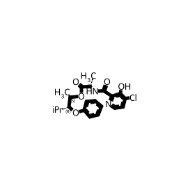 CC(C)[C@@H](Oc1ccccc1)[C@H](C)OC(=O)[C@H](C)NC(=O)c1nccc(Cl)c1O